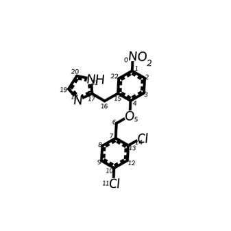 O=[N+]([O-])c1ccc(OCc2ccc(Cl)cc2Cl)c(Cc2ncc[nH]2)c1